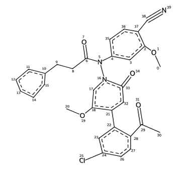 COc1cc(N(C(=O)CCc2ccccc2)n2cc(OC)c(-c3cc(Cl)ccc3C(C)=O)cc2=O)ccc1C#N